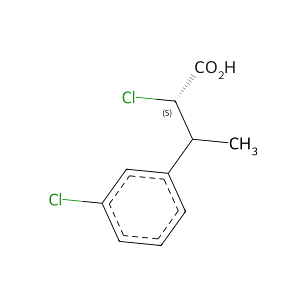 CC(c1cccc(Cl)c1)[C@H](Cl)C(=O)O